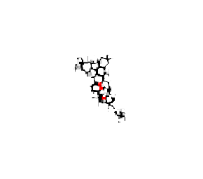 CC1(C)Cc2nc(C3CCN(c4ncc(OCCC(F)(F)F)cn4)CC3)c(C(F)c3ccc(C(F)(F)F)cc3)c(C3CCC(F)(F)CC3)c2C(O)C1